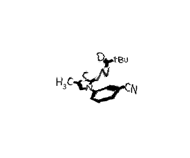 Cc1cn(-c2cccc(C#N)c2)/c(=N/C(=O)C(C)(C)C)s1